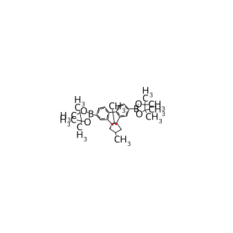 CC1C[C@]23CC(C)C[C@@]2(C1)c1cc(B2OC(C)(C)C(C)(C)O2)ccc1-c1ccc(B2OC(C)(C)C(C)(C)O2)cc13